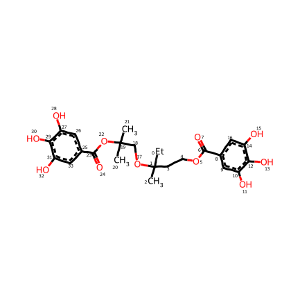 CCC(C)(CCOC(=O)c1cc(O)c(O)c(O)c1)OCC(C)(C)OC(=O)c1cc(O)c(O)c(O)c1